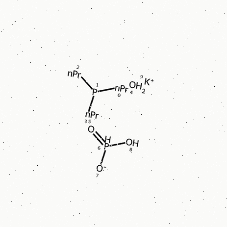 CCCP(CCC)CCC.O.O=[PH]([O-])O.[K+]